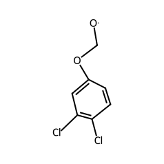 [O]COc1ccc(Cl)c(Cl)c1